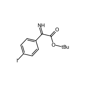 CC(C)(C)OC(=O)C(=N)c1ccc(I)cc1